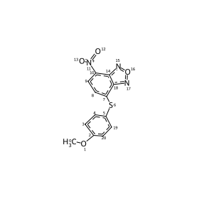 COc1ccc(Sc2ccc([N+](=O)[O-])c3nonc23)cc1